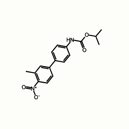 Cc1cc(-c2ccc(NC(=O)OC(C)C)cc2)ccc1[N+](=O)[O-]